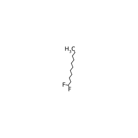 CCCCCCCCCCC(F)F